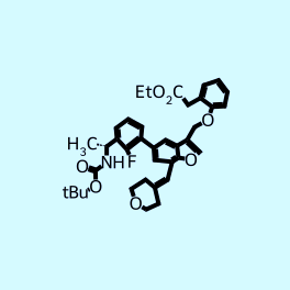 CCOC(=O)Cc1ccccc1OCc1coc2c(C=C3CCOCC3)cc(-c3cccc([C@@H](C)NC(=O)OC(C)(C)C)c3F)cc12